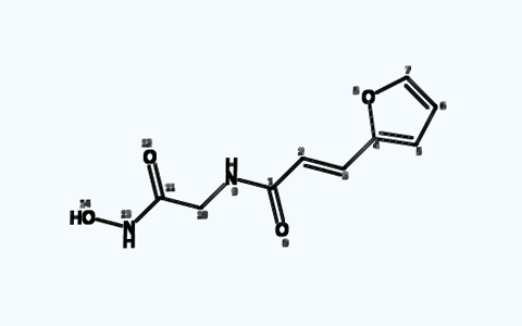 O=C(C=Cc1ccco1)NCC(=O)NO